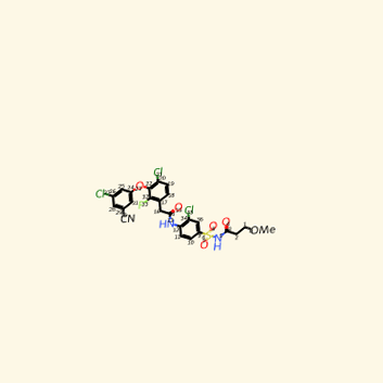 COCCC(=O)NS(=O)(=O)c1ccc(NC(=O)Cc2ccc(Cl)c(Oc3cc(Cl)cc(C#N)c3)c2F)c(Cl)c1